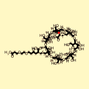 CN[C@H](CSCC1O[C@H]2O[C@@H]3C(CO)O[C@H](O[C@@H]4C(CO)O[C@H](O[C@@H]5C(CO)O[C@H](O[C@@H]6C(CSC[C@@H](CC(=O)CCOCCOCCC(C)=O)C(=O)O)C[C@H](O[C@@H]7C(CO)O[C@@H](O[C@@H]8C(CO)O[C@@H](O[C@H]1[C@H](O)C2O)C(O)[C@H]8O)C(O)[C@H]7O)C(O)[C@H]6O)C(O)[C@H]5O)C(O)[C@H]4O)C(O)[C@H]3O)C(=O)O